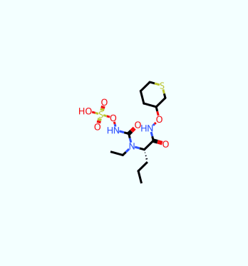 CCC[C@@H](C(=O)NOC1CCCSC1)N(CC)C(=O)NOS(=O)(=O)O